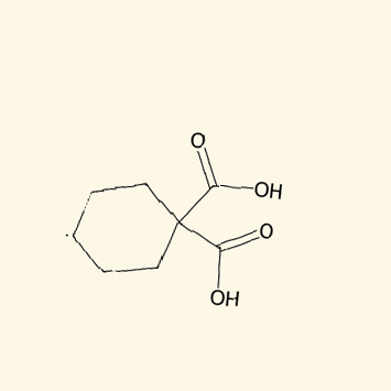 O=C(O)C1(C(=O)O)CC[CH]CC1